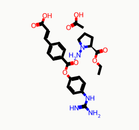 CC(=O)O.CCOC(=O)[C@@H]1CCCN1N.N=C(N)Nc1ccc(OC(=O)c2ccc(C=CC(=O)O)cc2)cc1